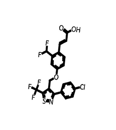 O=C(O)C=Cc1ccc(OCc2c(-c3ccc(Cl)cc3)nsc2C(F)(F)F)cc1C(F)F